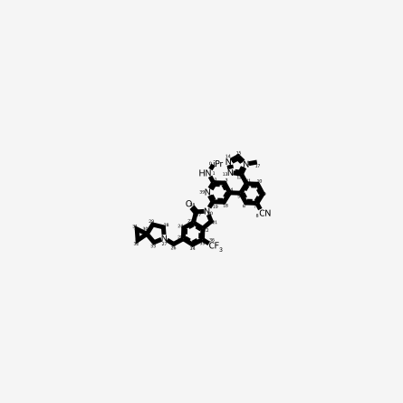 CC(C)Nc1cc(-c2cc(C#N)ccc2-c2nncn2C)cc(N2Cc3c(cc(CN4CCC5(CC5)C4)cc3C(F)(F)F)C2=O)n1